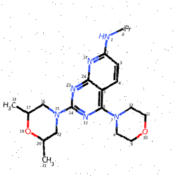 CC(C)Nc1ccc2c(N3CCOCC3)nc(N3CC(C)OC(C)C3)nc2n1